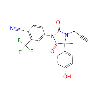 C#CCN1C(=O)N(c2ccc(C#N)c(C(F)(F)F)c2)C(=O)C1(C)c1ccc(O)cc1